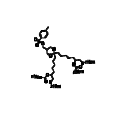 CCCCCCCCCC(=O)OC(CCCCCC1(CCCCCC(CSCCCCCC)OC(=O)CCCCCCCCC)OCC(COS(=O)(=O)c2ccc(C)cc2)CO1)CSCCCCCC